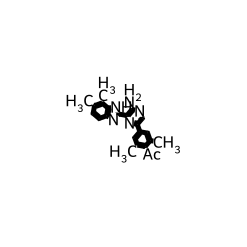 CC(=O)c1c(C)cc(-c2cnc(N)c(-c3nc4ccc(C)c(C)c4[nH]3)n2)cc1C